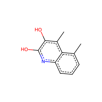 Cc1cccc2nc(O)c(O)c(C)c12